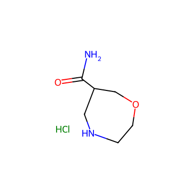 Cl.NC(=O)C1CNCCOC1